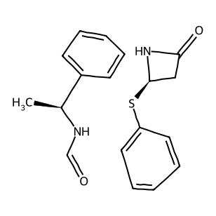 C[C@H](NC=O)c1ccccc1.O=C1C[C@@H](Sc2ccccc2)N1